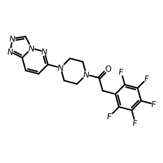 O=C(Cc1c(F)c(F)c(F)c(F)c1F)N1CCN(c2ccc3nncn3n2)CC1